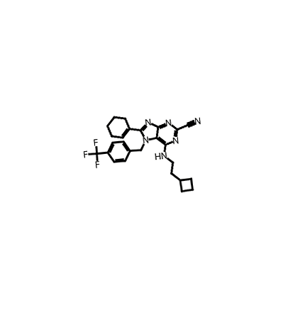 N#Cc1nc(NCCC2CCC2)c2c(n1)nc(C1=CCCCC1)n2Cc1ccc(C(F)(F)F)cc1